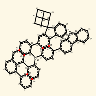 c1ccc(-c2cccc3cccc(-c4ccccc4N(c4ccc(-c5ccc6c(c5)oc5ccccc56)cc4)c4ccccc4-c4ccc5c(c4)C4(c6ccccc6-5)C5CC6CC7CC4C675)c23)cc1